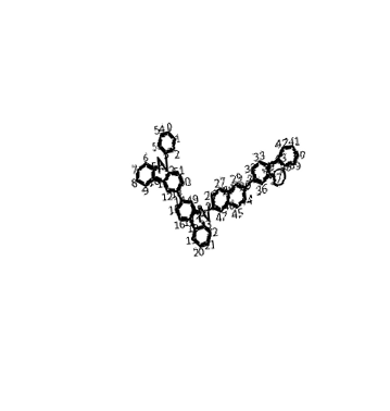 c1ccc(-n2c3ccccc3c3cc(-c4ccc5c6ccccc6n(-c6ccc7cc(-c8ccc9c(c8)oc8ccccc89)ccc7c6)c5c4)ccc32)cc1